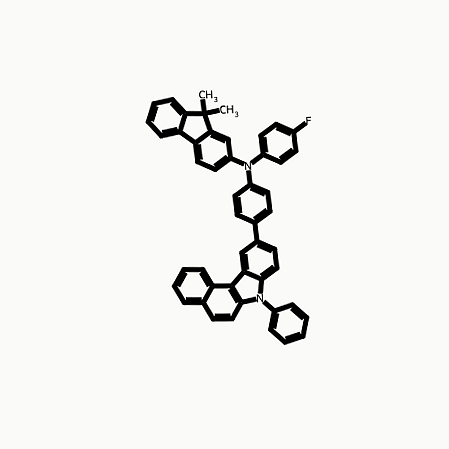 CC1(C)c2ccccc2-c2ccc(N(c3ccc(F)cc3)c3ccc(-c4ccc5c(c4)c4c6ccccc6ccc4n5-c4ccccc4)cc3)cc21